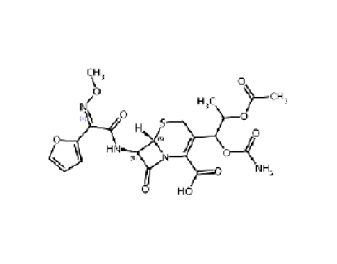 CO/N=C(\C(=O)N[C@@H]1C(=O)N2C(C(=O)O)=C(C(OC(N)=O)C(C)OC(C)=O)CS[C@@H]12)c1ccco1